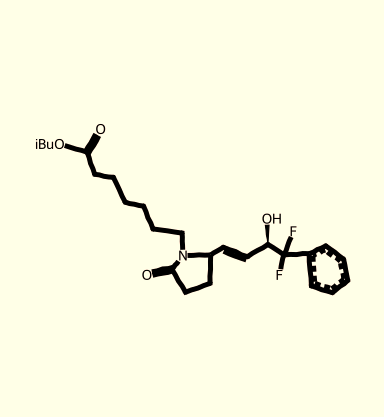 CC(C)COC(=O)CCCCCCN1C(=O)CCC1C=C[C@@H](O)C(F)(F)c1ccccc1